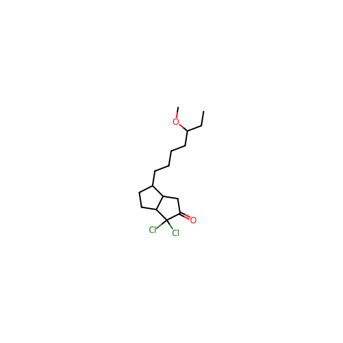 CCC(CCCCC1CCC2C1CC(=O)C2(Cl)Cl)OC